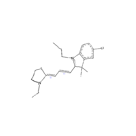 CCC[N+]1=C(/C=C/C=C2\SCCN2CC)C(C)(C)c2cc(Cl)ccc21